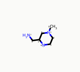 CN1CC[N]C(CN)C1